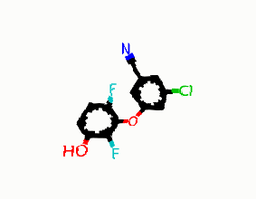 N#Cc1cc(Cl)cc(Oc2c(F)ccc(O)c2F)c1